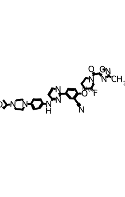 Cc1noc(C(=O)N2CC[C@H](Oc3ccc(-c4nccc(Nc5ccc(N6CCN(C7COC7)CC6)cc5)n4)cc3C#N)[C@H](F)C2)n1